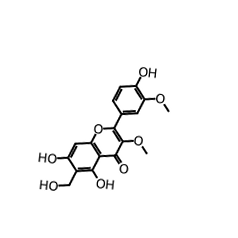 COc1cc(-c2oc3cc(O)c(CO)c(O)c3c(=O)c2OC)ccc1O